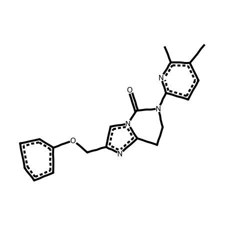 Cc1ccc(N2CCc3nc(COc4ccccc4)cn3C2=O)nc1C